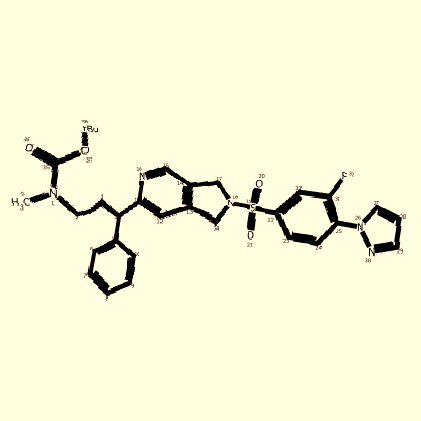 CN(CCC(c1ccccc1)c1cc2c(cn1)CN(S(=O)(=O)c1ccc(-n3cccn3)c(F)c1)C2)C(=O)OC(C)(C)C